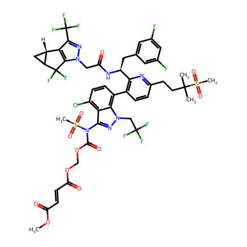 COC(=O)/C=C/C(=O)OCOC(=O)N(c1nn(CC(F)(F)F)c2c(-c3ccc(CCC(C)(C)S(C)(=O)=O)nc3[C@H](Cc3cc(F)cc(F)c3)NC(=O)Cn3nc(C(F)(F)F)c4c3C(F)(F)C3C[C@H]43)ccc(Cl)c12)S(C)(=O)=O